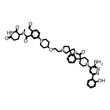 CN(C(=O)c1cc(N2CCC(OCCN3CCC4(C3)CN(C(=O)C3(c5ccccc5)CCN(c5cc(-c6ccccc6O)nnc5N)CC3)C4)CC2)ccc1C=O)C1CCC(=O)NC1=O